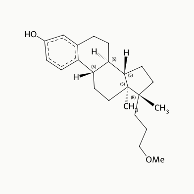 COCCC[C@@]1(C)CC[C@H]2[C@@H]3CCc4cc(O)ccc4[C@H]3CC[C@@]21C